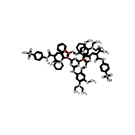 CCN(CC)c1cc(Nc2nc(Nc3cc(N(CC)CC)c(OC)cc3/N=N/c3nc(N4CCCCC4)c(/C=C(\C(C)=O)C(=O)Nc4ccc(S(=O)(=O)O)cc4)s3)nc(SCc3ccccc3)n2)c(/N=N/c2nc(N3CCCCC3)c(/C=C(/C(C)=O)C(=O)Nc3ccc(S(=O)(=O)O)cc3)s2)cc1OC